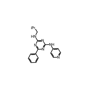 CC(C)CNc1nc(Nc2ccncc2)nc(-c2ccccc2)n1